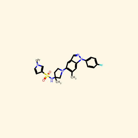 CCCn1ccc(S(=O)(=O)NC2(C)CCN(c3cc4cnn(-c5ccc(F)cc5)c4cc3C)C2)c1